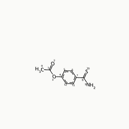 CC(=O)Oc1ccc(C(N)=S)cc1